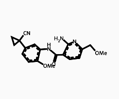 COCc1ccc(C(=O)Nc2cc(C3(C#N)CC3)ccc2OC)c(N)n1